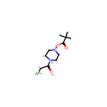 CC(C)(C)C(=O)ON1CCN(C(=O)CBr)CC1